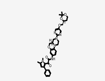 Cc1cc(-c2ccccc2)c(C(=O)C(=O)Nc2ccc3c(c2)OC[C@H]2CN(c4ncc(OC[C@@H]5CCOC(C)(C)O5)cn4)CCN32)n1C